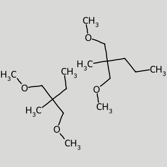 CCC(C)(COC)COC.CCCC(C)(COC)COC